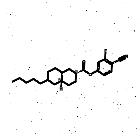 CCCCCC1CCC2C[C@H](C(=O)Oc3ccc(C#N)c(F)c3)CC[C@@H]2C1